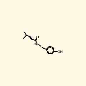 CC(C)/C=C/C(=O)NCCc1ccc(O)cc1